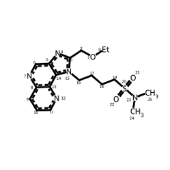 CCOCc1nc2cnc3cccnc3c2n1CCCCS(=O)(=O)N(C)C